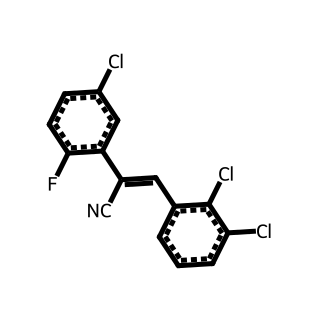 N#C/C(=C\c1cccc(Cl)c1Cl)c1cc(Cl)ccc1F